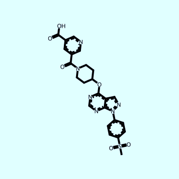 CS(=O)(=O)c1ccc(-n2ncc3c(OC4CCN(C(=O)c5cncc(C(=O)O)c5)CC4)ncnc32)cc1